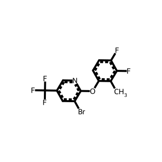 Cc1c(Oc2ncc(C(F)(F)F)cc2Br)ccc(F)c1F